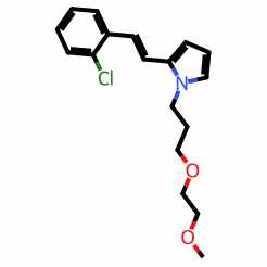 COCCOCCCn1cccc1/C=C/c1ccccc1Cl